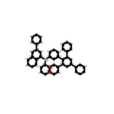 c1ccc(-c2cc(-c3ccccc3)c(-c3cccc(N(c4ccccc4)c4cc(-c5ccccc5)cc5ccccc45)c3)c(-c3ccccc3)c2)cc1